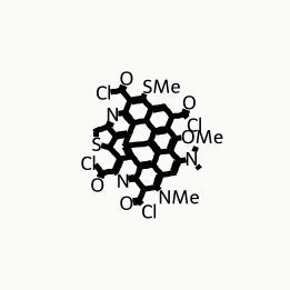 CNC1=c2cc(N(C)C)c3c(OC)c4c5c6c7c8c(c(C(=O)Cl)nc(c8c2c36)C1C(=O)Cl)C1SCc2nc3c(c-7c21)C5C(=CC4C(=O)Cl)C(SC)=C3C(=O)Cl